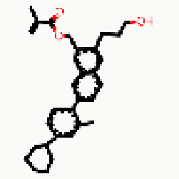 C=C(C)C(=O)OCc1cc2cc(-c3ccc(C4CCCCC4)cc3C)ccc2cc1CCCO